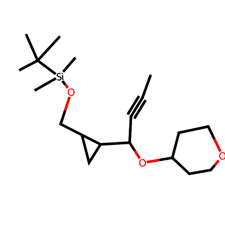 CC#CC(OC1CCOCC1)C1CC1CO[Si](C)(C)C(C)(C)C